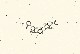 C=CC(=O)N1CCC(Oc2cc3c(Nc4cc(-c5cccc(Cl)c5F)ccc4OC)ncnc3cc2OC)CC1